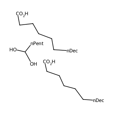 CCCCCC(O)O.CCCCCCCCCCCCCCCC(=O)O.CCCCCCCCCCCCCCCC(=O)O